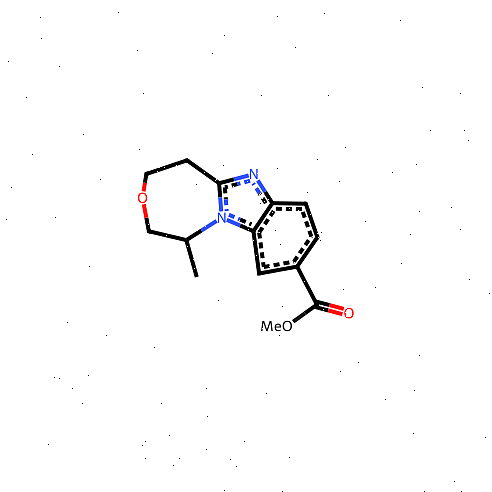 COC(=O)c1ccc2nc3n(c2c1)C(C)COCC3